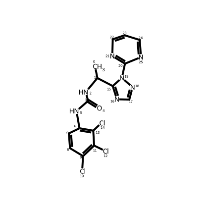 CC(NC(=O)Nc1ccc(Cl)c(Cl)c1Cl)c1ncnn1-c1ncccn1